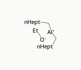 CCCCCCC[CH2][Al+][CH2]CCCCCCC.CC[O-]